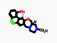 O=C(O)N1CCN2Cc3cc(Cl)c(-c4c(O)cccc4Cl)c(F)c3OC[C@H]2C1